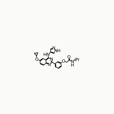 CC(C)NC(=O)COc1cccc(-c2nc(Nc3cn[nH]c3)c3cc(OC4CC4)ccc3n2)c1